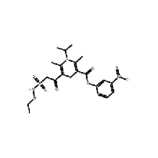 CCONS(=O)(=O)CC(=O)C1=C(C)N(C(C)C)C(C)=C(C(=O)Oc2cccc([N+](=O)[O-])c2)C1